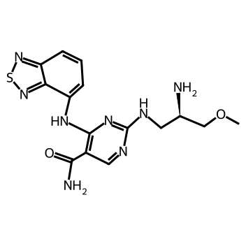 COC[C@H](N)CNc1ncc(C(N)=O)c(Nc2cccc3nsnc23)n1